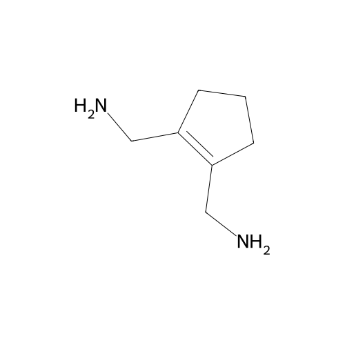 NCC1=C(CN)CCC1